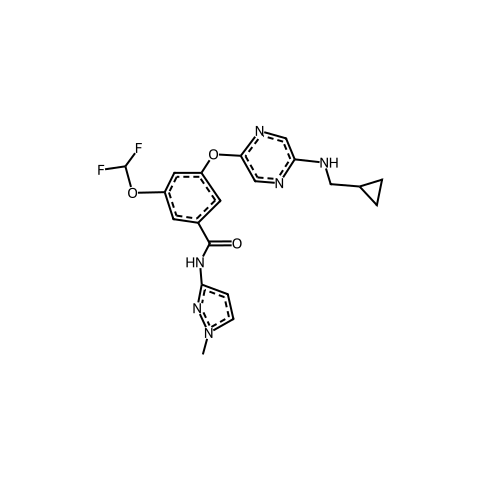 Cn1ccc(NC(=O)c2cc(Oc3cnc(NCC4CC4)cn3)cc(OC(F)F)c2)n1